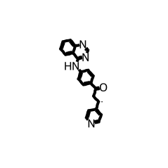 O=C(C[CH]c1ccncc1)c1ccc(Nc2ncnc3ccccc23)cc1